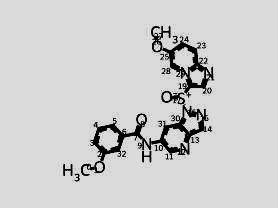 COc1cccc(C(=O)Nc2cnc3cnn([S+]([O-])c4cnc5ccc(OC)cn45)c3c2)c1